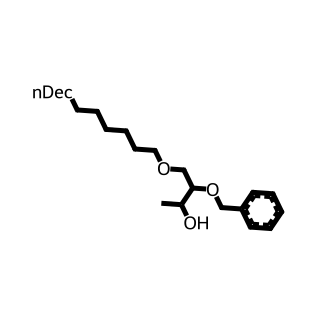 CCCCCCCCCCCCCCCCOCC(OCc1ccccc1)C(C)O